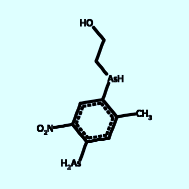 Cc1cc([AsH2])c([N+](=O)[O-])cc1[AsH]CCO